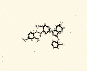 COc1ccc(CNc2nc(-c3nn(Cc4ccccc4F)c4ncc(F)cc34)ncc2N)c(OC)c1